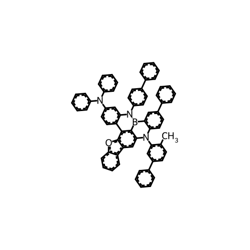 Cc1ccc(-c2ccccc2)cc1N1c2ccc(-c3ccccc3)cc2B2c3c1cc1c(oc4ccccc41)c3-c1ccc(N(c3ccccc3)c3ccccc3)cc1N2c1ccc(-c2ccccc2)cc1